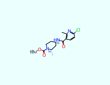 Cc1nc(Cl)ccc1C(=O)N[C@H]1CCN(C(=O)OC(C)(C)C)[C@@H](C)C1